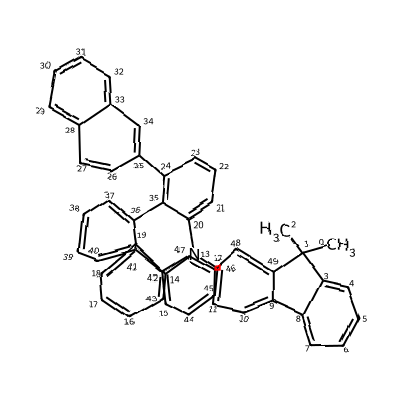 CC1(C)c2ccccc2-c2ccc(N(c3ccccc3)c3cccc(-c4ccc5ccccc5c4)c3-c3ccccc3-c3ccccc3)cc21